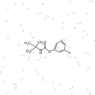 CC(C)(C)NC(=O)Oc1cccc(I)c1